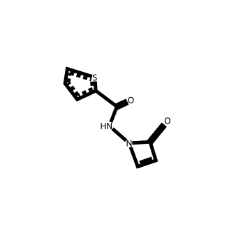 O=C(NN1C=CC1=O)c1cccs1